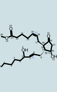 CCCCCC(O)/C=C/C[C@H]1[C@H](O)CC(=O)[C@@H]1C/C=C\CCCC(=O)OC